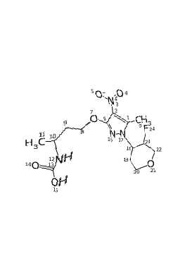 Cc1c([N+](=O)[O-])c(OCCC(C)NC(=O)O)nn1C1CCOCC1F